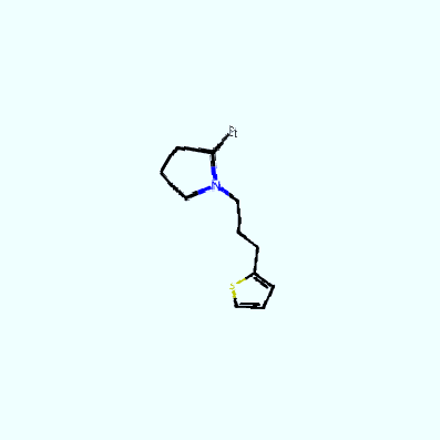 CCC1CCCN1CCCc1cccs1